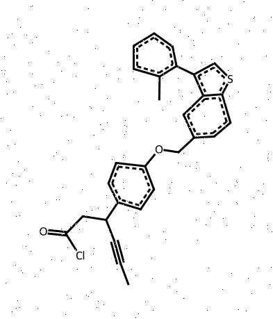 CC#CC(CC(=O)Cl)c1ccc(OCc2ccc3scc(-c4ccccc4C)c3c2)cc1